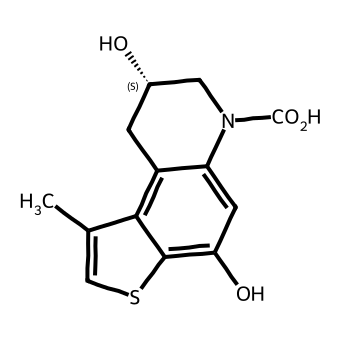 Cc1csc2c(O)cc3c(c12)C[C@H](O)CN3C(=O)O